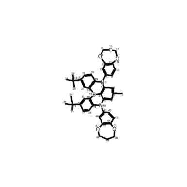 Cc1cc2c3c(c1)N(c1ccc4c(c1)OCCCO4)c1ccc(C(C)(C)C)cc1B3c1cc(C(C)(C)C)ccc1N2c1ccc2c(c1)OCCCO2